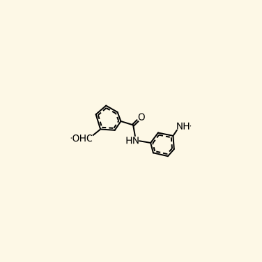 [NH]c1cccc(NC(=O)c2cccc([C]=O)c2)c1